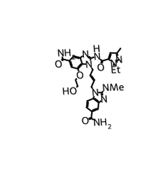 CCn1nc(C)cc1C(=O)Nc1nc2cc(C(N)=O)cc(OCCO)c2n1C/C=C/Cn1c(NC)nc2cc(C(N)=O)ccc21